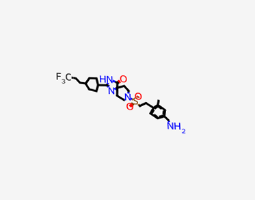 Cc1cc(CN)ccc1CCS(=O)(=O)N1CCC2(CC1)N=C(C1CCC(CCC(F)(F)F)CC1)NC2=O